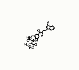 CC(C(=O)O)C1Nc2ccc(C(=O)NCCc3c[nH]c4ccccc34)cc2CNC1=O